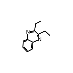 CCc1nc2ccccc2nc1CC